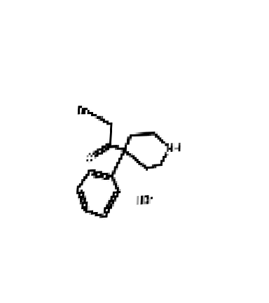 Br.O=C(CBr)C1(c2ccccc2)CCNCC1